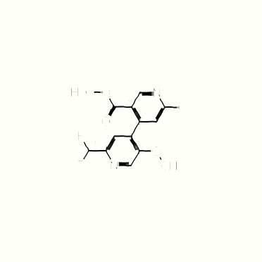 COC(=O)c1cnc(Cl)cc1-c1cc(C(F)F)ncc1OC